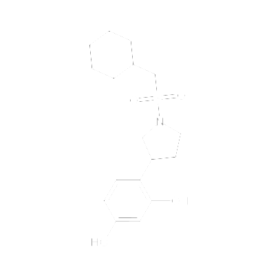 O=S(=O)(CC1CCCCC1)N1CCC(c2ccc(O)cc2O)C1